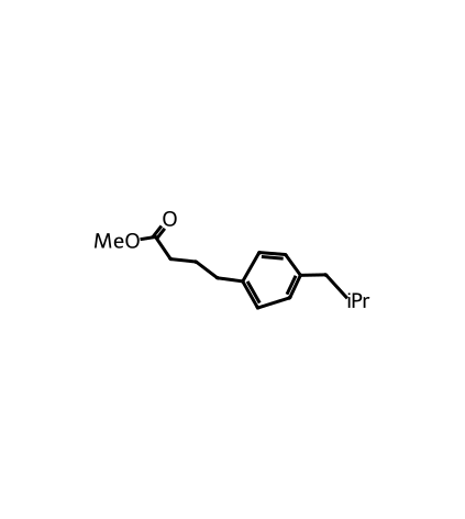 COC(=O)CCCc1ccc(CC(C)C)cc1